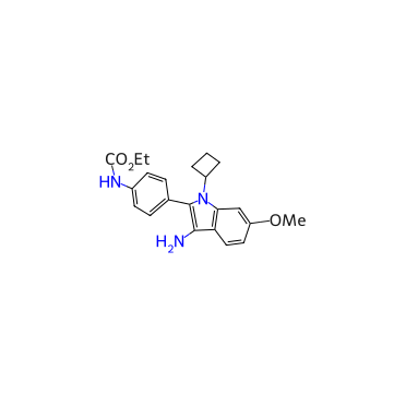 CCOC(=O)Nc1ccc(-c2c(N)c3ccc(OC)cc3n2C2CCC2)cc1